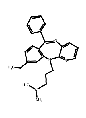 CCc1ccc2c(c1)N(CCCN(C)C)c1ncccc1N=C2c1ccccc1